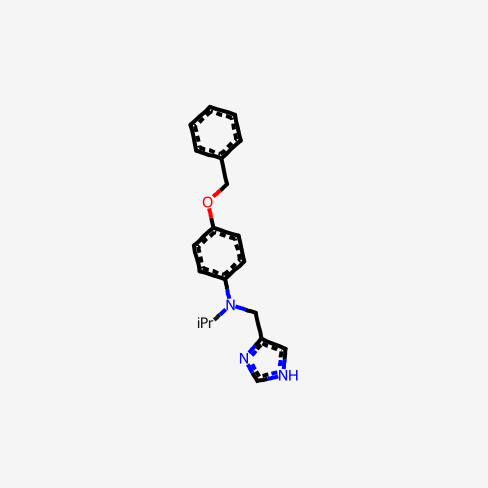 CC(C)N(Cc1c[nH]cn1)c1ccc(OCc2ccccc2)cc1